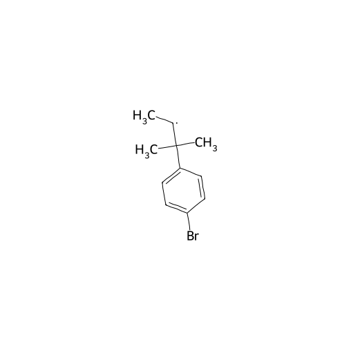 C[CH]C(C)(C)c1ccc(Br)cc1